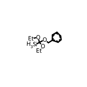 CCOC([SiH3])(OCC)OCc1ccccc1